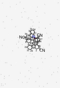 N#Cc1ccc([Si](c2ccccc2)(c2ccccc2)c2ccccc2)c(-c2ccc(C#N)c(-n3c4ccccc4c4cc(C#N)ccc43)c2)c1